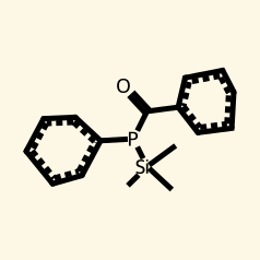 C[Si](C)(C)P(C(=O)c1ccccc1)c1ccccc1